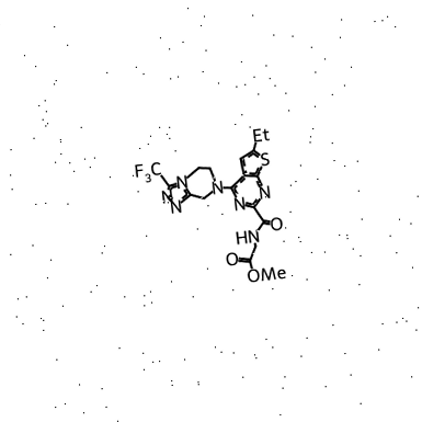 CCc1cc2c(N3CCn4c(nnc4C(F)(F)F)C3)nc(C(=O)NCC(=O)OC)nc2s1